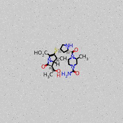 CC1CN(C(N)=O)CCN1C(=O)[C@@H]1C[C@H](SC2=C(C(=O)O)N3C(=O)[C@H]([C@@H](C)O)[C@H]3[C@H]2C)CN1